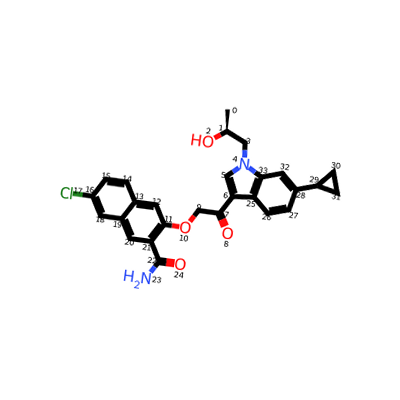 C[C@H](O)Cn1cc(C(=O)COc2cc3ccc(Cl)cc3cc2C(N)=O)c2ccc(C3CC3)cc21